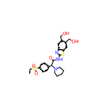 CCS(=O)(=O)c1ccc(C(C(=O)Nc2nc3cc(CO)c(CO)cc3s2)N2CCCCC2)cc1